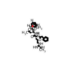 CNC(=N)NCCC[C@H](NC(=O)Cc1ccccc1)C(=O)N[C@@H](CC(C)C)B1O[C@@H]2C[C@@H]3C[C@@H](C3(C)C)[C@]2(C)O1